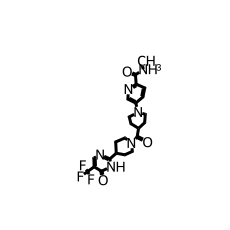 CNC(=O)c1ccc(N2CCC(C(=O)N3CCC(c4ncc(C(F)(F)F)c(=O)[nH]4)CC3)CC2)cn1